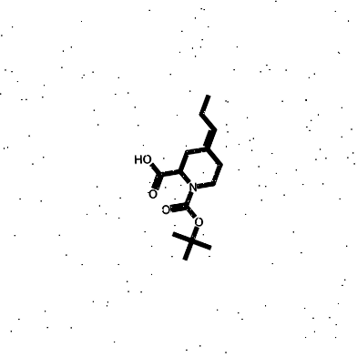 CC/C=C1/CCN(C(=O)OC(C)(C)C)C(C(=O)O)C1